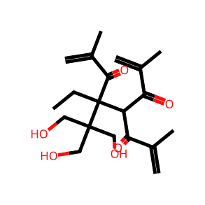 C=C(C)C(=O)C(C(=O)C(=C)C)C(CC)(C(=O)C(=C)C)C(CO)(CO)CO